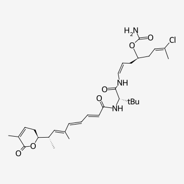 CC1=CC[C@@H]([C@@H](C)/C=C(C)/C=C/C=C/C(=O)N[C@H](C(=O)N/C=C\C[C@H](C/C=C(\C)Cl)OC(N)=O)C(C)(C)C)OC1=O